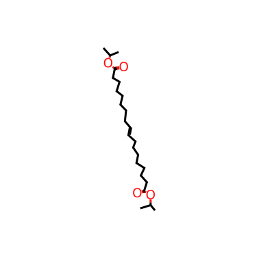 CC(C)OC(=O)CCCCCCC/C=C/CCCCCCCC(=O)OC(C)C